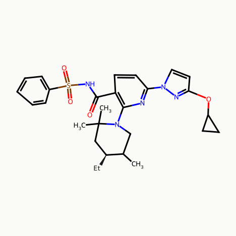 CC[C@H]1CC(C)(C)N(c2nc(-n3ccc(OC4CC4)n3)ccc2C(=O)NS(=O)(=O)c2ccccc2)CC1C